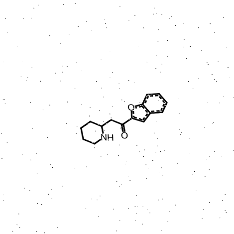 O=C(CC1CCCCN1)c1cc2ccccc2o1